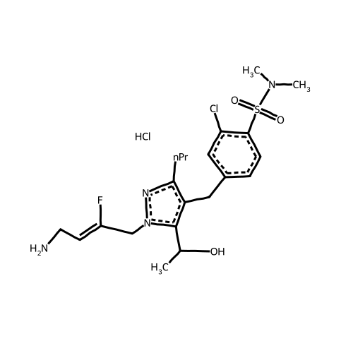 CCCc1nn(C/C(F)=C/CN)c(C(C)O)c1Cc1ccc(S(=O)(=O)N(C)C)c(Cl)c1.Cl